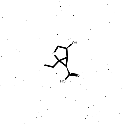 CCC12SC[C@@H](O)C1[C@H]2C(=O)O